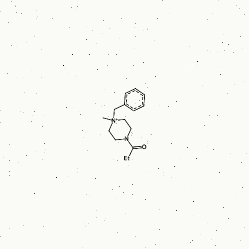 CCC(=O)N1CC[N+](C)(Cc2ccccc2)CC1